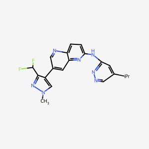 CC(C)c1cnnc(Nc2ccc3ncc(-c4cn(C)nc4C(F)F)cc3n2)c1